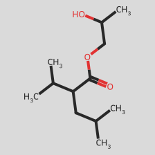 CC(C)CC(C(=O)OCC(C)O)C(C)C